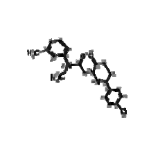 Cc1cccc(N(C)C(=O)CN2N=C(c3ccc(Cl)cc3)CCC2=O)c1